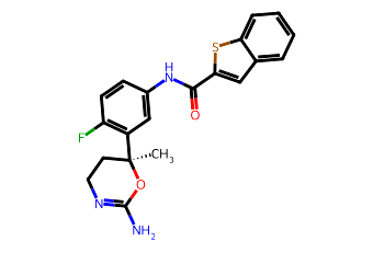 C[C@@]1(c2cc(NC(=O)c3cc4ccccc4s3)ccc2F)CCN=C(N)O1